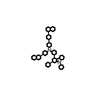 c1ccc(-c2cc(-c3cccc(N(c4ccc(-c5ccc(-c6cccc7ccccc67)cc5)cc4)c4ccc(-c5ccc6ccccc6c5)cc4)c3)c3c4ccccc4n(-c4ccccc4)c3c2)cc1